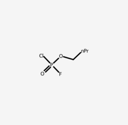 CCCCOP(=O)(F)Cl